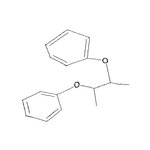 CC(Oc1ccccc1)C(C)Oc1ccccc1